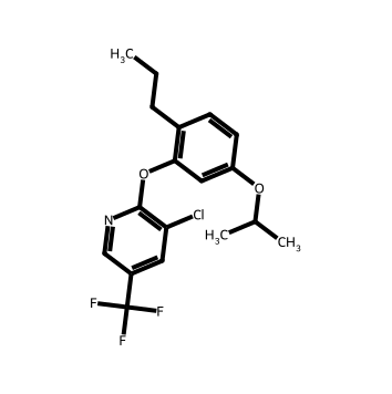 CCCc1ccc(OC(C)C)cc1Oc1ncc(C(F)(F)F)cc1Cl